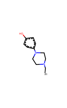 CC(C)CN1CCN(c2ccc(O)cc2)CC1